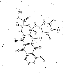 COc1cccc2c1C(=O)c1c(O)c3c(c(O)c1C2=O)C[C@@](O)(C(=O)CO)C[C@]3(C)O[C@H]1C[C@H](C)[C@H](O)[C@H](C)O1